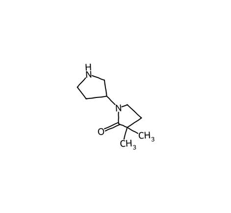 CC1(C)CCN(C2CCNC2)C1=O